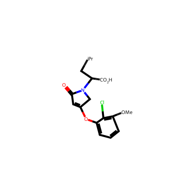 COc1cccc(OC2=CC(=O)N(C(CC(C)C)C(=O)O)C2)c1Cl